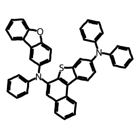 c1ccc(N(c2ccccc2)c2ccc3c(c2)sc2c(N(c4ccccc4)c4ccc5oc6ccccc6c5c4)cc4ccccc4c23)cc1